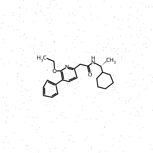 CCOc1nc(CC(=O)N[C@H](C)C2CCCCC2)ccc1-c1ccccc1